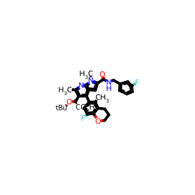 Cc1nc2c(cc(C(=O)NCc3cccc(F)c3)n2C)c(-c2cc(F)c3c(c2C)CCCO3)c1[C@H](OC(C)(C)C)C(=O)O